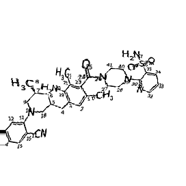 Cc1cc(CC2C[C@H](C)CN(c3ccccc3C#N)C2)c(N)c(C)c1C(=O)N1CCN(c2ncccc2S(N)(=O)=O)CC1